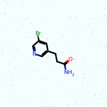 NC(=O)C[CH]c1cncc(Br)c1